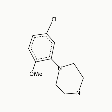 COc1ccc(Cl)cc1N1CC[N]CC1